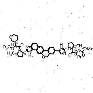 COC(=O)N[C@H](C(=O)N1[C@@H](C)CC[C@H]1c1ncc(-c2ccc3c(c2)COc2cc4c(ccc5nc([C@@H]6CC[C@H](C)N6C(=O)[C@@H](NC(=O)O)[C@@H]6CCCOC6)[nH]c54)cc2-3)[nH]1)C(C)C